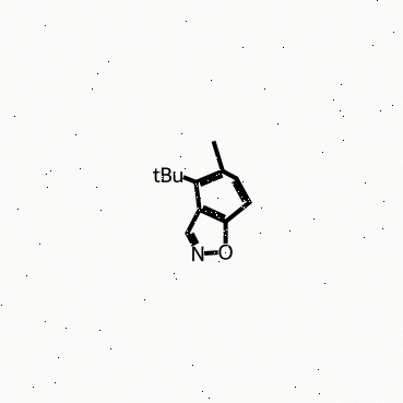 Cc1ccc2oncc2c1C(C)(C)C